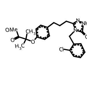 COC(=O)C(C)(C)Oc1ccc(CCCc2n[nH]c(=O)n2Cc2ccccc2Cl)cc1